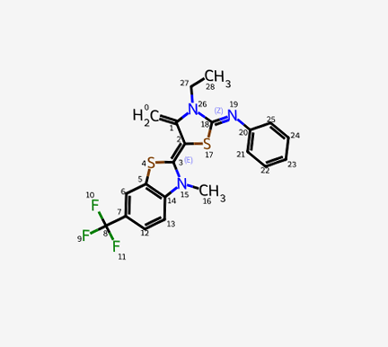 C=c1/c(=C2\Sc3cc(C(F)(F)F)ccc3N2C)s/c(=N\c2ccccc2)n1CC